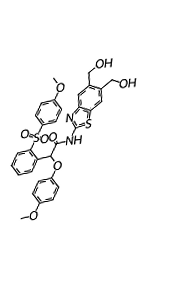 COc1ccc(OC(C(=O)Nc2nc3cc(CO)c(CO)cc3s2)c2ccccc2S(=O)(=O)c2ccc(OC)cc2)cc1